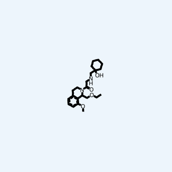 CCOCC1c2c(cccc2OC)CCN1C(=O)CNCC1(O)CCCCC1